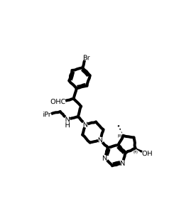 CC(C)CNC(CC(C=O)c1ccc(Br)cc1)N1CCN(c2ncnc3c2[C@H](C)C[C@H]3O)CC1